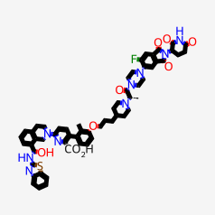 Cc1c(OCCCC2CCN([C@@H](C)C(=O)N3CCN(c4cc5c(cc4F)C(=O)N(C4CCC(=O)NC4=O)C5=O)CC3)CC2)cccc1-c1ccc(N2CCc3cccc(C(O)Nc4nc5ccccc5s4)c3C2)nc1C(=O)O